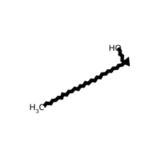 CCCCCCCCCCCCCCCCCCCCCCCCCCCCCCC1(CCCCO)CC1